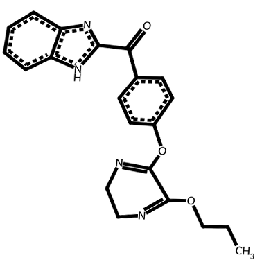 CCCOC1=NCCN=C1Oc1ccc(C(=O)c2nc3ccccc3[nH]2)cc1